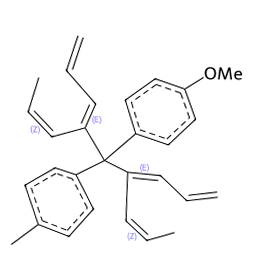 C=C/C=C(\C=C/C)C(C(/C=C\C)=C/C=C)(c1ccc(C)cc1)c1ccc(OC)cc1